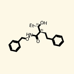 CC[C@H](O)[C@@H](CCc1ccccc1)C(=O)NOCc1ccccc1